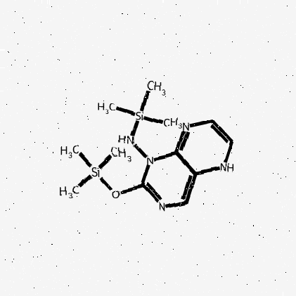 C[Si](C)(C)NN1C(O[Si](C)(C)C)=NC=C2NC=CN=C21